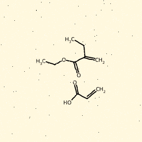 C=C(CC)C(=O)OCC.C=CC(=O)O